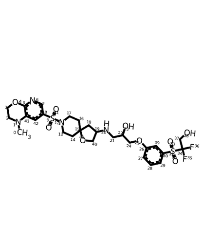 CN1CCOc2ncc(S(=O)(=O)N3CCC4(CC3)CC(NCC(O)COc3cccc(S(=O)(=O)C(F)(F)CO)c3)CO4)cc21